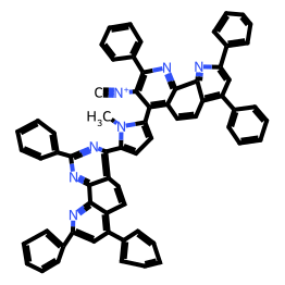 [C-]#[N+]c1c(-c2ccccc2)nc2c(ccc3c(-c4ccccc4)cc(-c4ccccc4)nc32)c1-c1ccc(-c2nc(-c3ccccc3)nc3c2ccc2c(-c4ccccc4)cc(-c4ccccc4)nc23)n1C